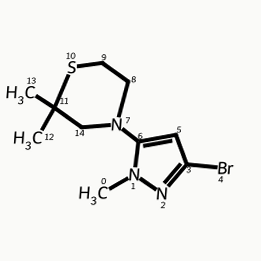 Cn1nc(Br)cc1N1CCSC(C)(C)C1